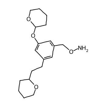 NOCc1cc(CCC2CCCCO2)cc(OC2CCCCO2)c1